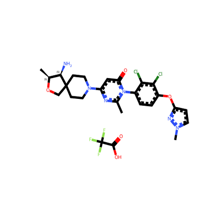 Cc1nc(N2CCC3(CC2)CO[C@@H](C)[C@H]3N)cc(=O)n1-c1ccc(Oc2ccn(C)n2)c(Cl)c1Cl.O=C(O)C(F)(F)F